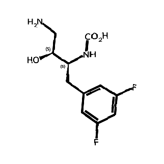 NC[C@H](O)[C@H](Cc1cc(F)cc(F)c1)NC(=O)O